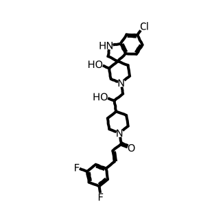 O=C(C=Cc1cc(F)cc(F)c1)N1CCC(C(O)CN2CCC3(CNc4cc(Cl)ccc43)C(O)C2)CC1